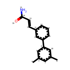 Cc1cc(C)cc(-c2cccc(C=CC(N)=O)c2)c1